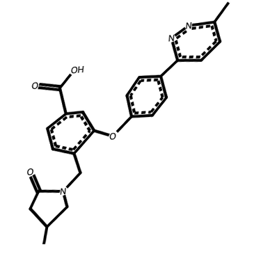 Cc1ccc(-c2ccc(Oc3cc(C(=O)O)ccc3CN3CC(C)CC3=O)cc2)nn1